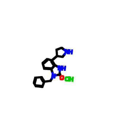 Cl.O=c1[nH]c2c(C3CCNC3)cccc2n1Cc1ccccc1